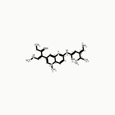 CCC(=N)/C(=C\NC)C1=CN(C)C2C=CC(N/C(N)=C/C(=C\N)C(C)C)=NC2=C1